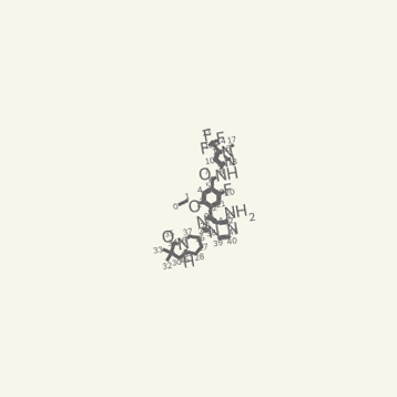 CCOc1cc(C(=O)Nc2cc(C(F)(F)F)n(C)n2)c(F)cc1-c1nc([C@@H]2CC[C@H]3CC(C)(C)C(=O)N3C2)n2ccnc(N)c12